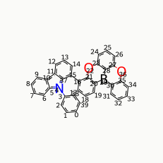 c1ccc(-n2c3ccccc3c3cccc(-c4cccc5c4Oc4cccc6c4B5c4ccccc4O6)c32)cc1